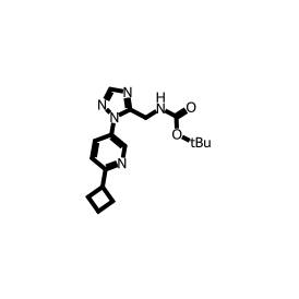 CC(C)(C)OC(=O)NCc1ncnn1-c1ccc(C2CCC2)nc1